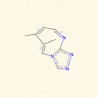 CC1=C/C=N\c2nncn2\C=C\1C